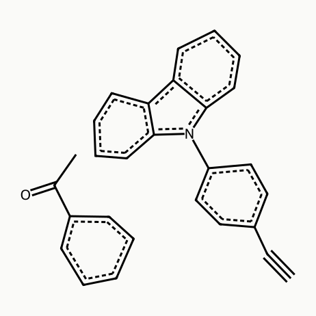 C#Cc1ccc(-n2c3ccccc3c3ccccc32)cc1.CC(=O)c1ccccc1